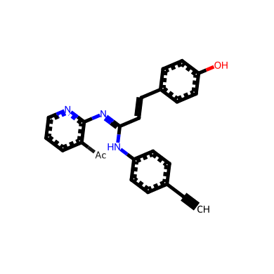 C#Cc1ccc(NC(/C=C/c2ccc(O)cc2)=N\c2ncccc2C(C)=O)cc1